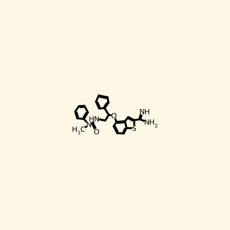 CN(C(=O)NCC(Oc1cccc2sc(C(=N)N)cc12)c1ccccc1)c1ccccc1